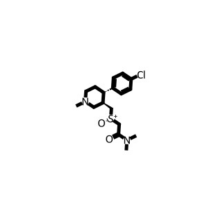 CN1CC[C@H](c2ccc(Cl)cc2)[C@@H](C[S+]([O-])CC(=O)N(C)C)C1